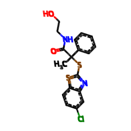 CC(Sc1nc2cc(Cl)ccc2s1)(C(=O)NCCO)c1ccccc1